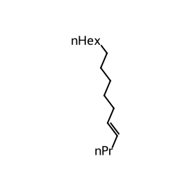 [CH2]CCCCCCCCCCC=CCCC